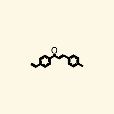 C=Cc1ccc(C(=O)C=Cc2ccc(C)cc2)cc1